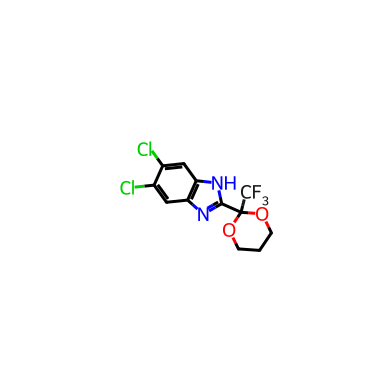 FC(F)(F)C1(c2nc3cc(Cl)c(Cl)cc3[nH]2)OCCCO1